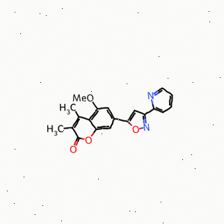 COc1cc(-c2cc(-c3ccccn3)no2)cc2oc(=O)c(C)c(C)c12